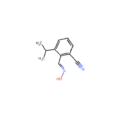 CC(C)c1cccc(C#N)c1/C=N/O